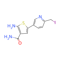 NC(=O)c1cc(-c2ccc(CI)nc2)sc1N